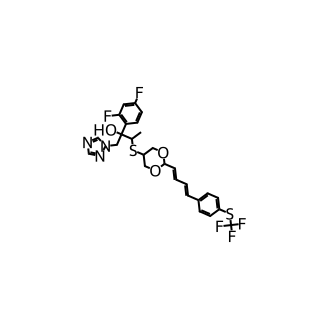 CC(SC1COC(/C=C/C=C/c2ccc(SC(F)(F)F)cc2)OC1)C(O)(Cn1cncn1)c1ccc(F)cc1F